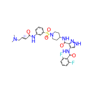 CN(C)C/C=C/C(=O)Nc1cccc(S(=O)(=O)N2CCC(NC(=O)c3n[nH]cc3NC(=O)c3c(F)cccc3F)CC2)c1